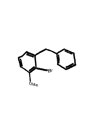 COc1cccc(Cc2ccccc2)c1Br